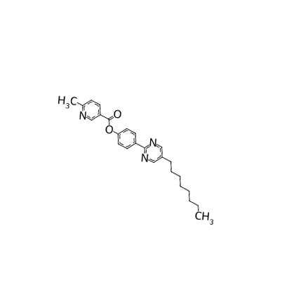 CCCCCCCCc1cnc(-c2ccc(OC(=O)c3ccc(C)nc3)cc2)nc1